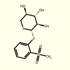 CS(=O)(=O)c1ccccc1S[C@@H]1SC[C@@H](O)[C@H](O)[C@H]1O